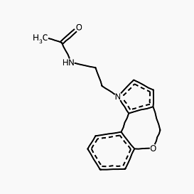 CC(=O)NCCn1ccc2c1-c1ccccc1OC2